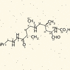 CC(C)CNNC(=O)[C@@H](C)C[C@H](C)NC[C@@H](C)CC(C=O)NC(=O)O